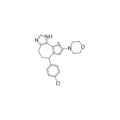 Clc1ccc(C2CCc3nc[nH]c3-c3sc(N4CCOCC4)cc32)cc1